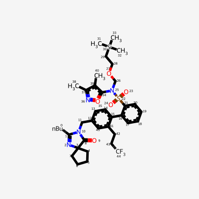 CCCCC1=NC2(CCCC2)C(=O)N1Cc1ccc(-c2ccccc2S(=O)(=O)N(COCC[Si](C)(C)C)c2onc(C)c2C)c(CCC(F)(F)F)c1